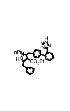 CCCN1NC(Cc2ccccc2)=C(C(=O)OCC)C1Cc1ccc(-c2ccccc2-c2nn[nH]n2)cc1